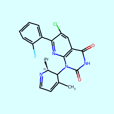 CC1=CC=N[C@@H](C(C)C)C1n1c(=O)[nH]c(=O)c2cc(Cl)c(-c3ccccc3F)nc21